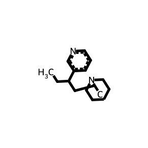 CCC(CC1CC2CCN1CC2)c1cccnc1